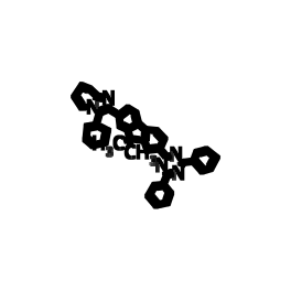 CC1(C)c2cc(-c3nc(-c4ccccc4)nc(-c4ccccc4)n3)ccc2-c2ccc(-c3nc4ccccn4c3-c3ccccc3)cc21